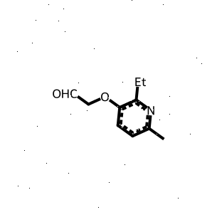 CCc1nc(C)ccc1OCC=O